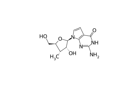 C[C@H]1[C@@H](O)[C@H](n2ccc3c(=O)[nH]c(N)nc32)O[C@@H]1CO